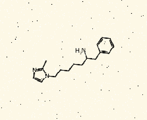 Cc1nccn1CCCCCC(N)Cc1ccccc1